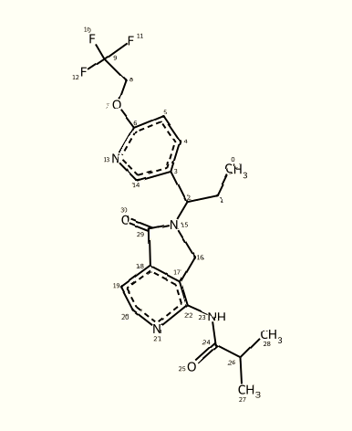 CCC(c1ccc(OCC(F)(F)F)nc1)N1Cc2c(ccnc2NC(=O)C(C)C)C1=O